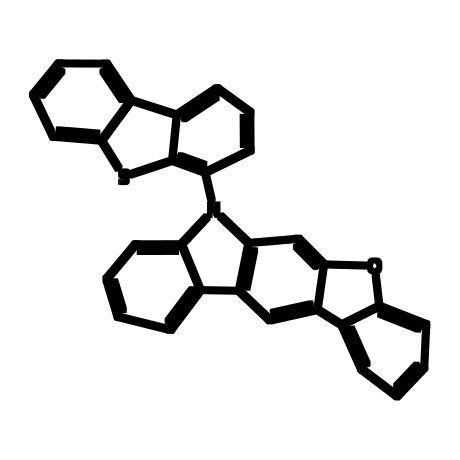 c1ccc2c(c1)oc1cc3c(cc12)c1ccccc1n3-c1cccc2c1sc1ccccc12